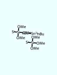 CCC[CH2][Sn+2][CH2]CCC.CO[Si]([S-])(OC)OC.CO[Si]([S-])(OC)OC